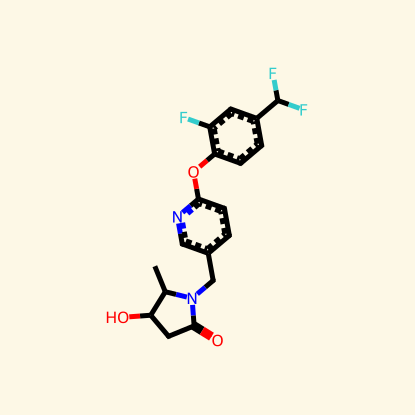 CC1C(O)CC(=O)N1Cc1ccc(Oc2ccc(C(F)F)cc2F)nc1